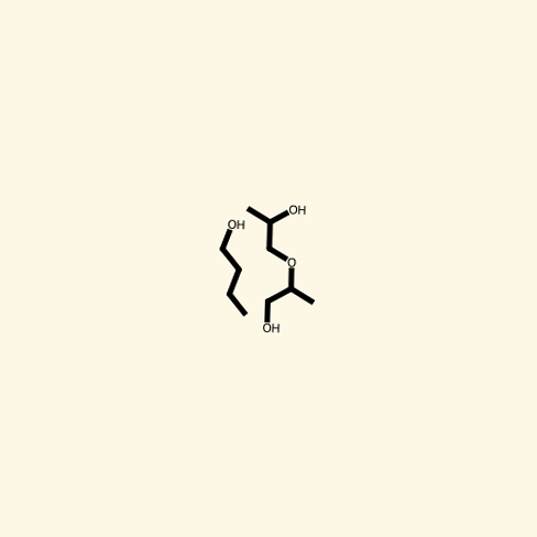 CC(O)COC(C)CO.CCCCO